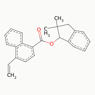 C=Cc1ccc(C(=O)OC2c3ccccc3CC2(C)C)c2ccccc12